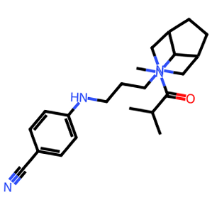 CC(C)C(=O)N(C)C1C2CCC1CN(CCCNc1ccc(C#N)cc1)C2